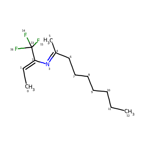 C/C=C(\N=C(/C)CCCCCCC)C(F)(F)F